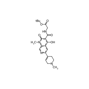 CN1CC=C(c2cc3c(O)c(C(=O)NCC(=O)OC(C)(C)C)c(=O)n(C)c3cn2)CC1